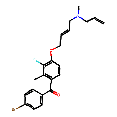 C=CCN(C)CC=CCOc1ccc(C(=O)c2ccc(Br)cc2)c(C)c1F